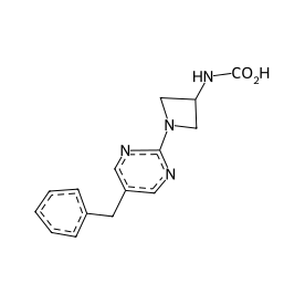 O=C(O)NC1CN(c2ncc(Cc3ccccc3)cn2)C1